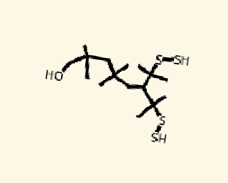 CC(C)(CO)CC(C)(C)CC(C(C)(C)SS)C(C)(C)SS